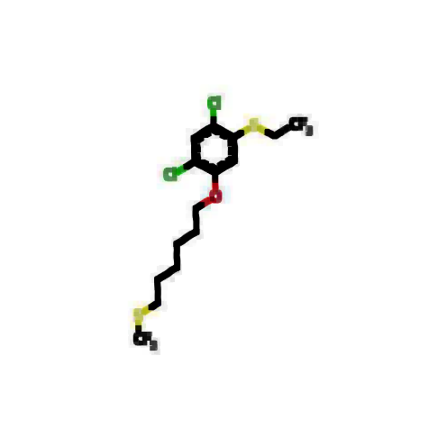 FC(F)(F)CSc1cc(OCCCCCCSC(F)(F)F)c(Cl)cc1Cl